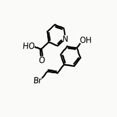 O=C(O)c1cccnc1.Oc1ccc(C=CBr)cc1